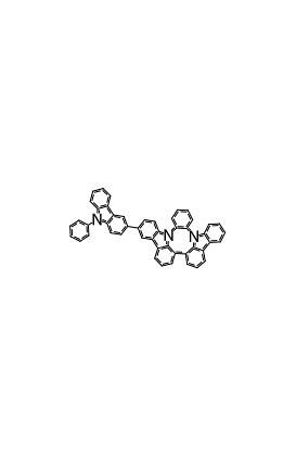 c1ccc(-n2c3ccccc3c3cc(-c4ccc5c(c4)c4cccc6c7cccc8c9ccccc9n(c9ccccc9n5c46)c87)ccc32)cc1